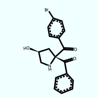 O=C(c1ccccc1)[C@]1(C(=O)c2ccc(Br)cc2)C[C@H](O)CN1